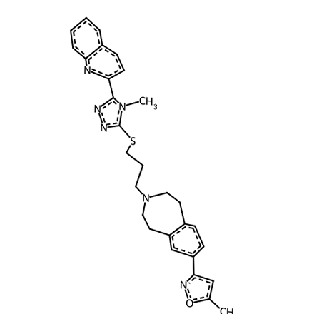 Cc1cc(-c2ccc3c(c2)CCN(CCCSc2nnc(-c4ccc5ccccc5n4)n2C)CC3)no1